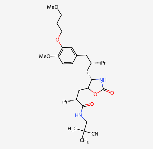 COCCCOc1cc(C[C@@H](C[C@@H]2NC(=O)OC2C[C@H](C(=O)NCC(C)(C)C#N)C(C)C)C(C)C)ccc1OC